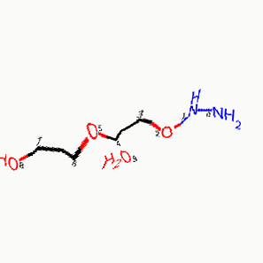 NNOCCOCCO.O